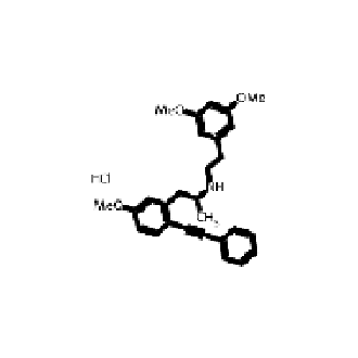 COc1cc(CCNC(C)Cc2cc(OC)ccc2C#Cc2ccccc2)cc(OC)c1.Cl